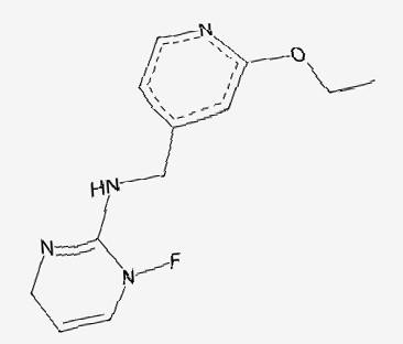 CCOc1cc(CNC2=NCC=CN2F)ccn1